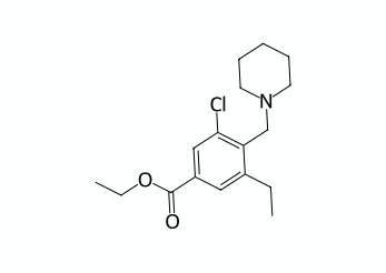 CCOC(=O)c1cc(Cl)c(CN2CCCCC2)c(CC)c1